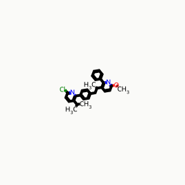 COc1ccc(C(C)Cc2ccc(-c3nc(Cl)ccc3C(C)C)cc2)c(-c2ccccc2)n1